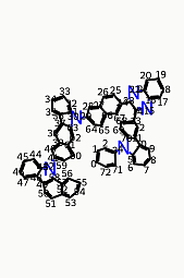 c1ccc(-n2c3ccccc3c3cc(-c4nc5ccccc5nc4-c4ccc5cc(-n6c7ccccc7c7cc8cc(-n9c%10ccccc%10c%10ccc%11ccccc%11c%109)ccc8cc76)ccc5c4)ccc32)cc1